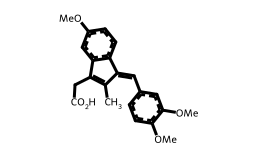 COc1ccc2c(c1)C(CC(=O)O)=C(C)C2=Cc1ccc(OC)c(OC)c1